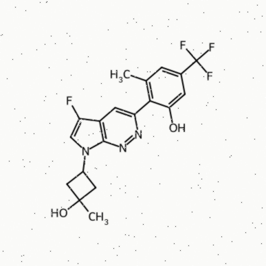 Cc1cc(C(F)(F)F)cc(O)c1-c1cc2c(F)cn(C3CC(C)(O)C3)c2nn1